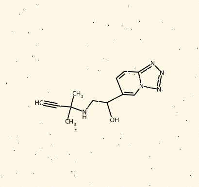 C#CC(C)(C)NCC(O)c1ccc2nnnn2c1